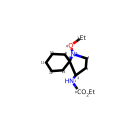 CCOC(=O)NC1CCN(OCC)C12CCCCC2